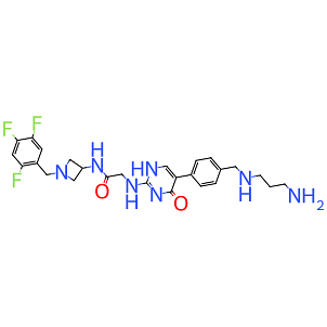 NCCCNCc1ccc(-c2c[nH]c(NCC(=O)NC3CN(Cc4cc(F)c(F)cc4F)C3)nc2=O)cc1